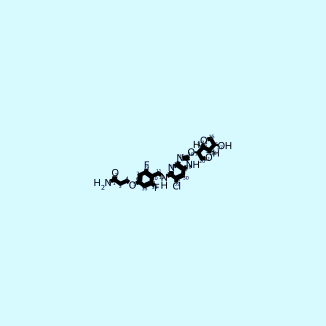 NC(=O)CCOc1cc(F)c(CNc2nc3nc(O[C@@H]4CO[C@H]5[C@@H]4OC[C@H]5O)[nH]c3cc2Cl)c(F)c1